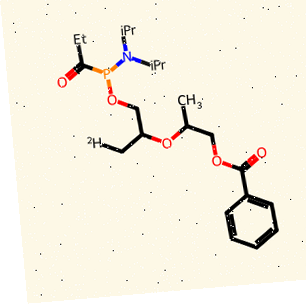 [2H]CC(COP(C(=O)CC)N(C(C)C)C(C)C)OC(C)COC(=O)c1ccccc1